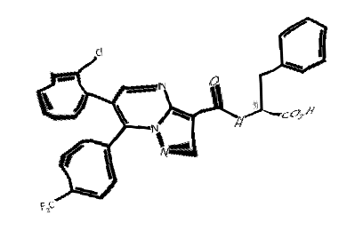 O=C(N[C@@H](Cc1ccccc1)C(=O)O)c1cnn2c(-c3ccc(C(F)(F)F)cc3)c(-c3ccccc3Cl)cnc12